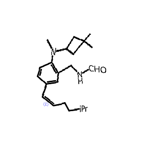 CC(C)CC/C=C\c1ccc(N(C)C2CC(C)(C)C2)c(CNC=O)c1